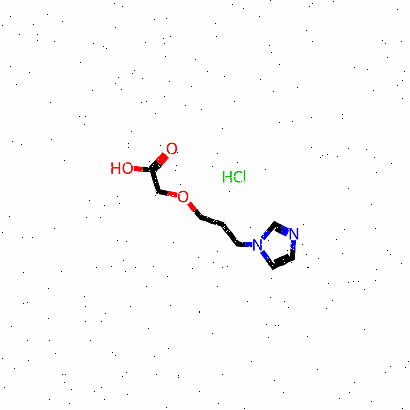 Cl.O=C(O)COCCCn1ccnc1